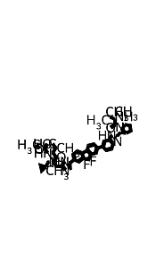 CNC(C(=O)N1C2CCC(C2)C1c1nc2ccc(-c3ccc4c(c3)C(F)(F)c3cc(-c5cnc(CN(CC6(C)CC6)C(=O)C(NC(=O)OC)C(C)C)[nH]5)ccc3-4)cc2[nH]1)C(C)C